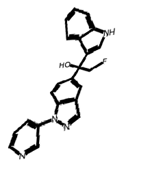 OC(CF)(c1ccc2c(cnn2-c2cccnc2)c1)c1c[nH]c2ccccc12